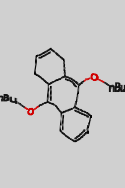 CCCCOc1c2c(c(OCCCC)c3ccccc13)CC=CC2